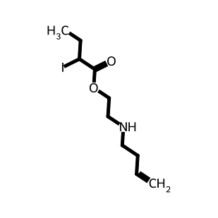 C=CCCNCCOC(=O)C(I)CC